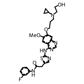 COc1cc2c(Nc3ncc(CC(=O)Nc4cccc(F)c4)s3)ncnc2cc1OCCCN(CCO)C1CC1